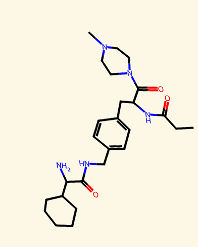 CCC(=O)NC(Cc1ccc(CNC(=O)C(N)C2CCCCC2)cc1)C(=O)N1CCN(C)CC1